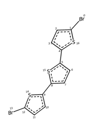 Brc1c[c]c(-c2ccc(-c3ccc(Br)s3)s2)s1